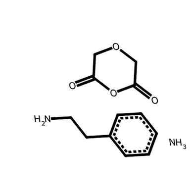 N.NCCc1ccccc1.O=C1COCC(=O)O1